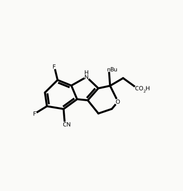 CCCCC1(CC(=O)O)OCCc2c1[nH]c1c(F)cc(F)c(C#N)c21